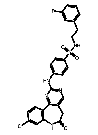 O=C1Cc2cnc(Nc3ccc(S(=O)(=O)NCCc4cccc(F)c4)cc3)nc2-c2ccc(Cl)cc2N1